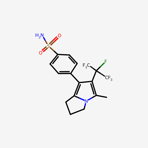 Cc1c(C(F)(C(F)(F)F)C(F)(F)F)c(-c2ccc(S(N)(=O)=O)cc2)c2n1CCC2